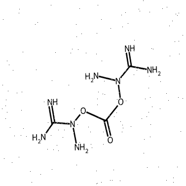 N=C(N)N(N)OC(=O)ON(N)C(=N)N